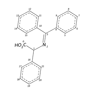 O=C(O)C(N=C(c1ccccc1)c1ccccc1)c1ccccc1